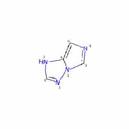 c1nn2cncc2[nH]1